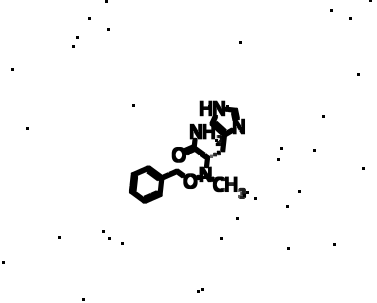 CN(OCc1ccccc1)[C@@H](Cc1c[nH]cn1)C(N)=O